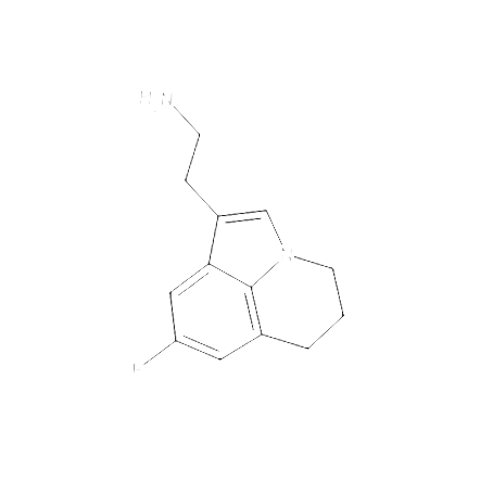 NCCc1cn2c3c(cc(F)cc13)CCC2